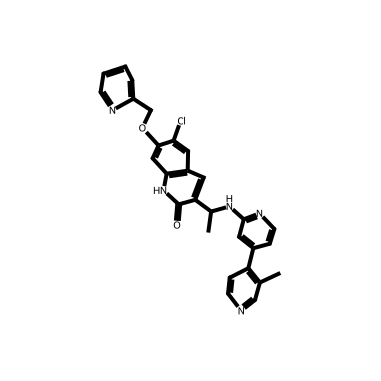 Cc1cnccc1-c1ccnc(NC(C)c2cc3cc(Cl)c(OCc4ccccn4)cc3[nH]c2=O)c1